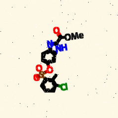 COC(=O)c1nc2ccc(OS(=O)(=O)c3cccc(Cl)c3C)cc2[nH]1